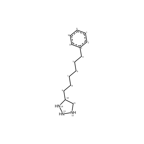 c1ccc(CCCCCCC2CNNN2)cc1